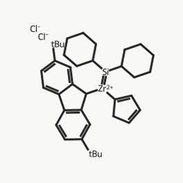 CC(C)(C)c1ccc2c(c1)[CH]([Zr+2]([C]1=CC=CC1)=[Si](C1CCCCC1)C1CCCCC1)c1cc(C(C)(C)C)ccc1-2.[Cl-].[Cl-]